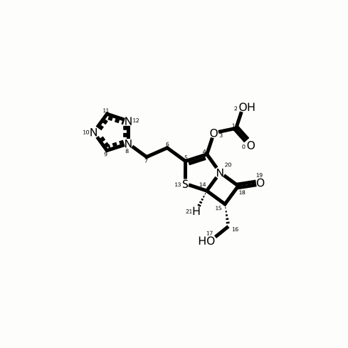 O=C(O)OC1=C(CCn2cncn2)S[C@@H]2[C@@H](CO)C(=O)N12